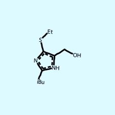 CCSc1nc(C(C)CC)[nH]c1CO